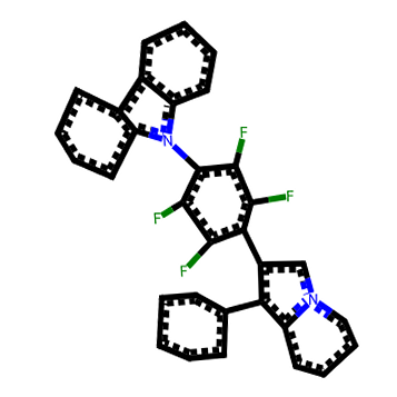 Fc1c(F)c(-n2c3ccccc3c3ccccc32)c(F)c(F)c1-c1cn2ccccc2c1-c1ccccc1